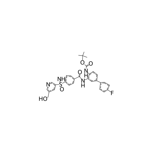 CC(C)(C)OC(=O)Nc1ccc(-c2ccc(F)cc2)cc1NC(=O)c1ccc(S(=N)(=O)c2cncc(CO)c2)cc1